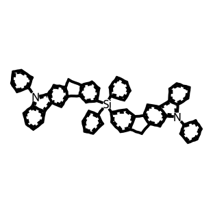 c1ccc(-n2c3ccccc3c3cc4c(cc32)Cc2ccc([Si](c3ccccc3)(c3ccccc3)c3ccc5c(c3)-c3cc6c7ccccc7n(-c7ccccc7)c6cc3C5)cc2-4)cc1